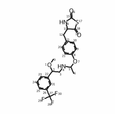 COC(CNC(C)Oc1ccc(CC2NC(=O)SC2=O)cc1)c1cccc(C(F)(F)F)c1